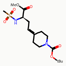 COC(=O)[C@@H](CC=C1CCN(C(=O)OC(C)(C)C)CC1)NS(C)(=O)=O